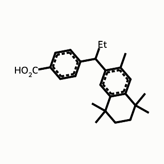 CCC(c1ccc(C(=O)O)cc1)c1cc2c(cc1C)C(C)(C)CCC2(C)C